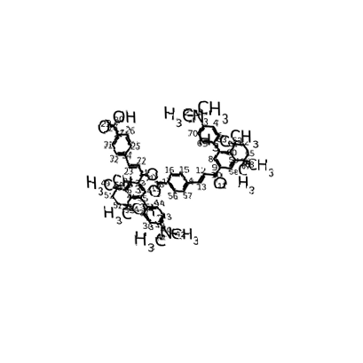 CN(C)c1ccc(-c2cc(C(=O)/C=C/c3ccc(C(=O)OC(/C=C/c4ccc(C(=O)O)cc4)c4cc(-c5ccc(N(C)C)cc5)c5c(c4)C(C)(C)CCC5(C)C)cc3)cc3c2C(C)(C)CCC3(C)C)cc1